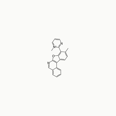 Cc1ccc2c(oc3ncc4ccccc4c32)c1-c1nccc[n+]1C